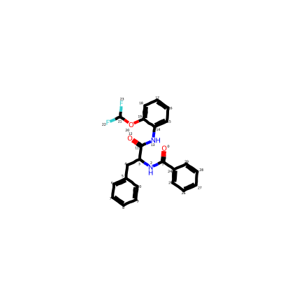 O=C(NC(Cc1ccccc1)C(=O)Nc1ccccc1OC(F)F)c1ccccc1